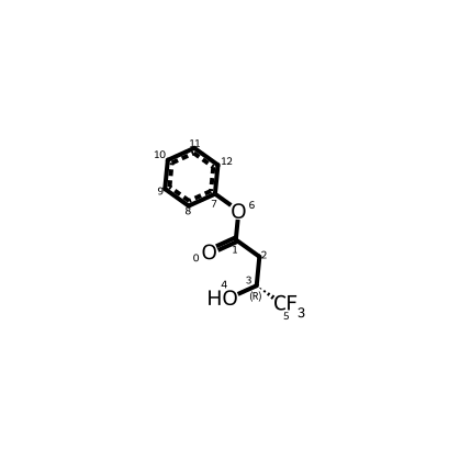 O=C(C[C@@H](O)C(F)(F)F)Oc1ccccc1